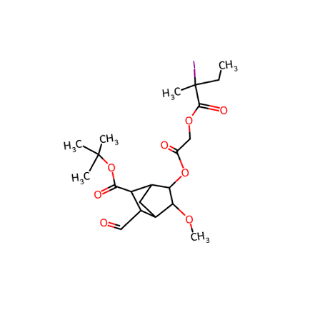 CCC(C)(I)C(=O)OCC(=O)OC1C2CC(C(C=O)C2C(=O)OC(C)(C)C)C1OC